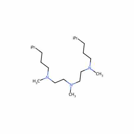 CC(C)CCCN(C)CCN(C)CCN(C)CCCC(C)C